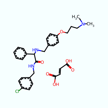 CN(C)CCCOc1ccc(CNC(C(=O)NCc2ccc(Cl)cc2)c2ccccc2)cc1.O=C(O)C=CC(=O)O